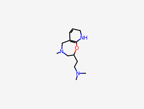 CN(C)CCC1CN(C)CC2=C(NCC=C2)O1